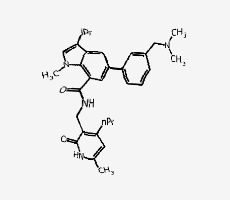 CCCc1cc(C)[nH]c(=O)c1CNC(=O)c1cc(-c2cccc(CN(C)C)c2)cc2c(C(C)C)cn(C)c12